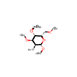 CCCCOC[C@@H]1O[C@H](OCCCC)[C@@H](OC(C)=O)[C@@H](OCCCC)[C@@H]1OCCCC